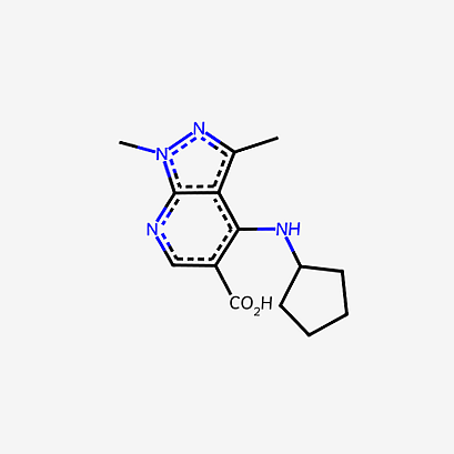 Cc1nn(C)c2ncc(C(=O)O)c(NC3CCCC3)c12